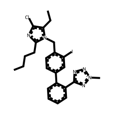 CCCCc1nc(Cl)c(CC)n1Cc1ccc(-c2ccccc2-c2nnn(C)n2)cc1I